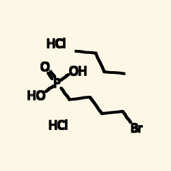 CCCC.Cl.Cl.O=P(O)(O)CCCCBr